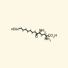 CCCCCCCCCCCCCCCCCC(=O)C(N)CCC(N)C(=O)O